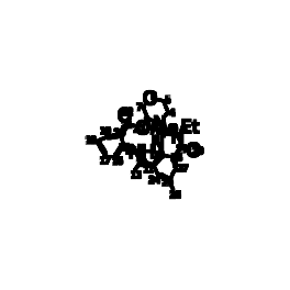 CCn1c(N2CCOCC2)nc2c(C(C)Nc3ccccc3C(=O)OC)cc(C)cc2c1=O